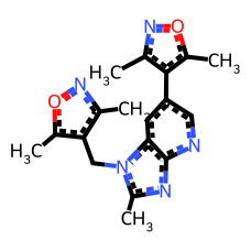 Cc1noc(C)c1Cn1c(C)nc2ncc(-c3c(C)noc3C)cc21